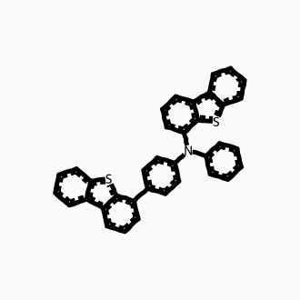 c1ccc(N(c2ccc(-c3cccc4c3sc3ccccc34)cc2)c2cccc3c2sc2ccccc23)cc1